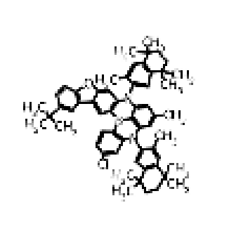 Cc1cc2c3c(c1)N(c1cc4c(cc1C)C(C)(C)CCC4(C)C)c1cc4oc5ccc(C(C)(C)C)cc5c4cc1B3c1ccc(Cl)cc1N2c1cc2c(cc1C)C(C)(C)CCC2(C)C